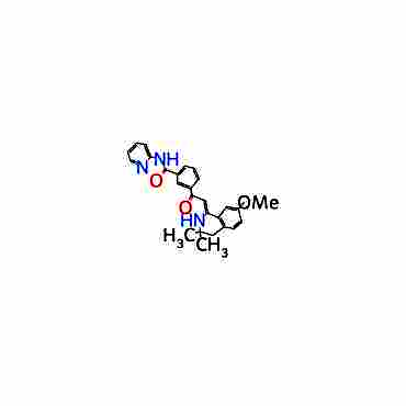 COc1ccc2c(c1)C(=CC(=O)c1cccc(C(=O)Nc3ccccn3)c1)NC(C)(C)C2